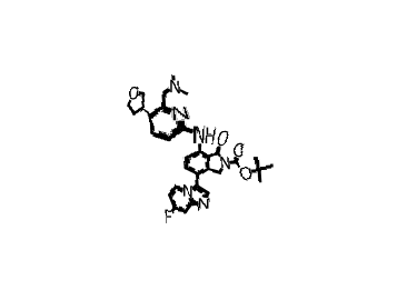 CN(C)Cc1nc(Nc2ccc(-c3cnc4cc(F)ccn34)c3c2C(=O)N(C(=O)OC(C)(C)C)C3)ccc1[C@H]1CCOC1